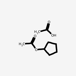 CC(=O)O.CC(=O)OC1CCCC1